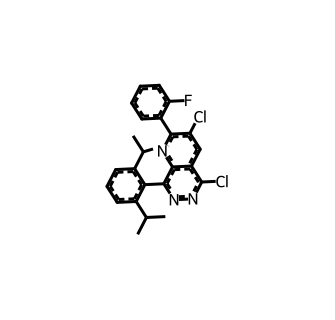 CC(C)c1cccc(C(C)C)c1-c1nnc(Cl)c2cc(Cl)c(-c3ccccc3F)nc12